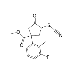 COC(=O)C1(c2cccc(F)c2C)CC(=O)C(SC#N)C1